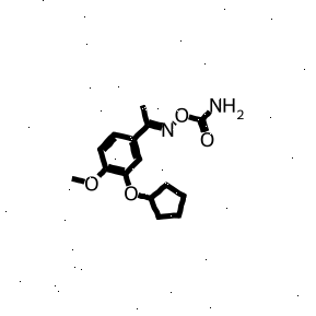 COc1ccc(/C(C)=N/OC(N)=O)cc1OC1CCCC1